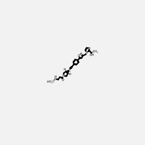 C[C@H](O)c1nccn1Cc1cc(-c2ccc(C#C[C@@H]3[C@H]4CN(C(=O)CCNC(=O)O)C[C@@H]34)cc2)on1